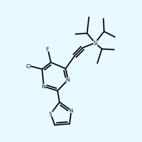 CC(C)[Si](C#Cc1nc(-c2nccs2)nc(Cl)c1F)(C(C)C)C(C)C